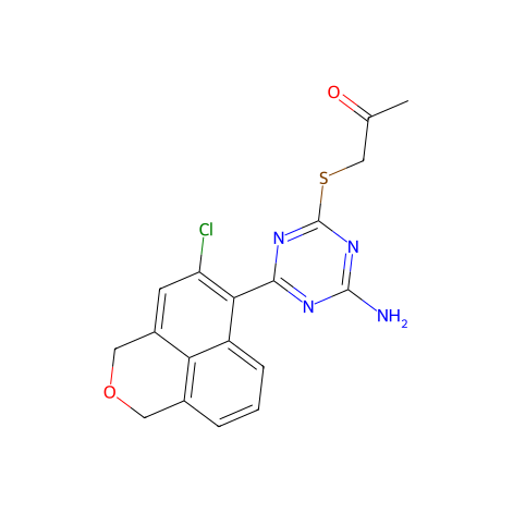 CC(=O)CSc1nc(N)nc(-c2c(Cl)cc3c4c(cccc24)COC3)n1